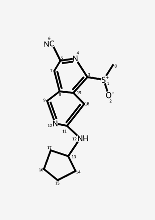 C[S+]([O-])c1nc(C#N)cc2cnc(NC3CCCC3)cc12